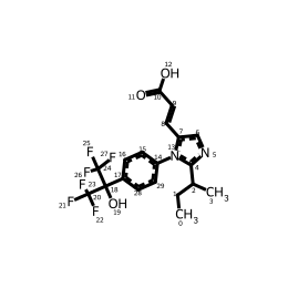 CCC(C)c1ncc(C=CC(=O)O)n1-c1ccc(C(O)(C(F)(F)F)C(F)(F)F)cc1